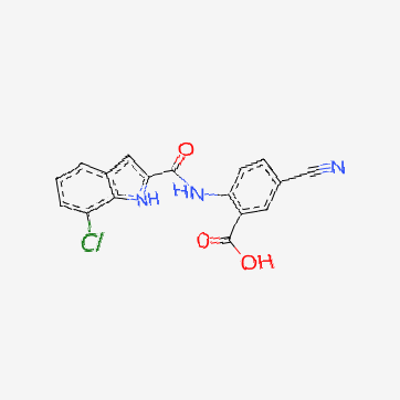 N#Cc1ccc(NC(=O)c2cc3cccc(Cl)c3[nH]2)c(C(=O)O)c1